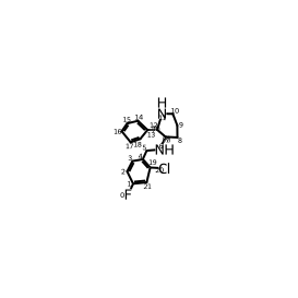 Fc1ccc(CN[C@@H]2CCCN[C@@H]2c2ccccc2)c(Cl)c1